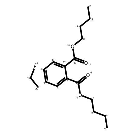 CCCCOC(=O)c1ccccc1C(=O)OCCCC.CCF